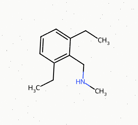 CCc1cccc(CC)c1CNC